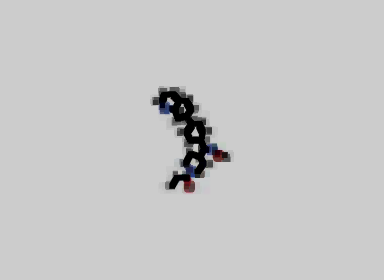 CCC(=O)N1CCC(C(=NOC)c2ccc(-c3ccc4cccnc4c3)cc2)CC1